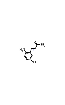 NC(=O)/C=C/c1cc(N)ccc1N